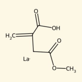 C=C(CC(=O)OC)C(=O)O.[La]